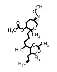 C=CCC(C)C(OC(C)=O)C(C)CCCC1(C)OC/C(=N/OC)CCC1OC(C)=O